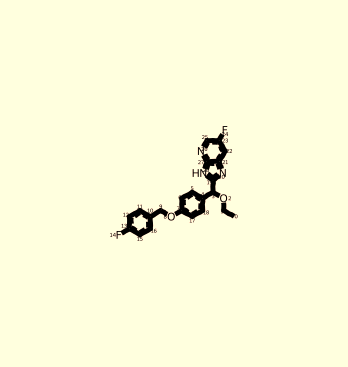 CCOC(c1ccc(OCc2ccc(F)cc2)cc1)c1nc2cc(F)cnc2[nH]1